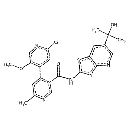 COc1cnc(Cl)cc1-c1cc(C)ncc1C(=O)Nc1nc2ncc(C(C)(C)O)cc2s1